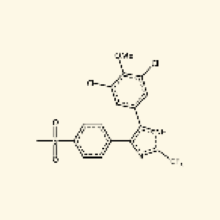 COc1c(Cl)cc(-c2[nH]c(C(F)(F)F)nc2-c2ccc(S(C)(=O)=O)cc2)cc1Cl